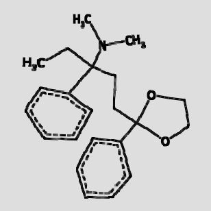 CCC(CCC1(c2ccccc2)OCCO1)(c1ccccc1)N(C)C